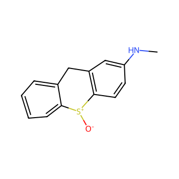 CNc1ccc2c(c1)Cc1ccccc1[S+]2[O-]